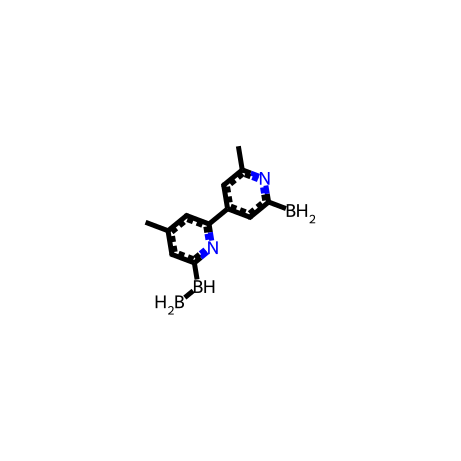 BBc1cc(C)cc(-c2cc(B)nc(C)c2)n1